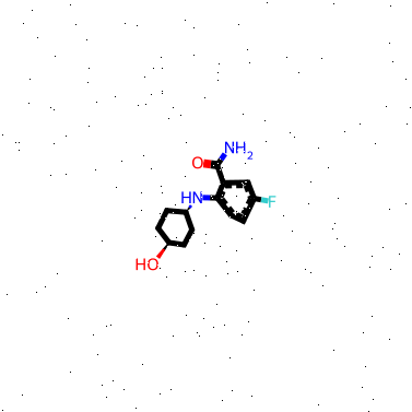 NC(=O)c1cc(F)ccc1N[C@H]1CC[C@H](O)CC1